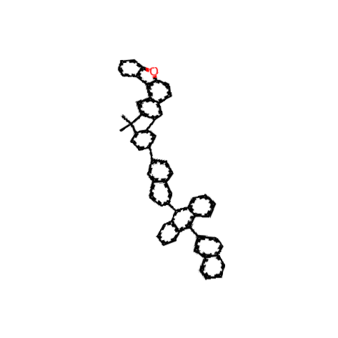 CC1(C)c2ccc(-c3ccc4cc(-c5c6ccccc6c(-c6ccc7ccccc7c6)c6ccccc56)ccc4c3)cc2-c2cc3ccc4oc5ccccc5c4c3cc21